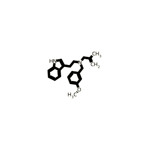 C=C(C)CN(CCc1c[nH]c2ccccc12)Cc1cccc(OC)c1